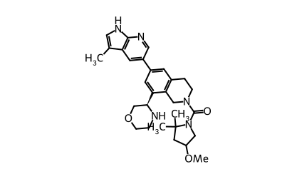 COC1CN(C(=O)N2CCc3cc(-c4cnc5[nH]cc(C)c5c4)cc([C@@H]4COCCN4)c3C2)C(C)(C)C1